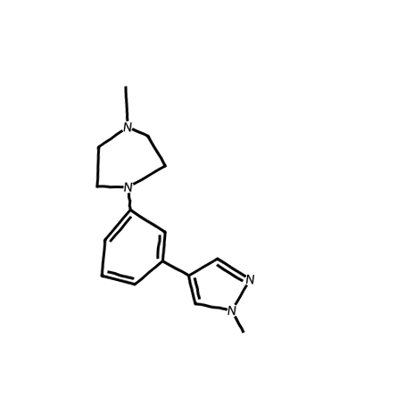 CN1CCN(c2cccc(-c3cnn(C)c3)c2)CC1